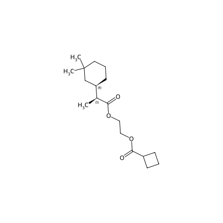 C[C@H](C(=O)OCCOC(=O)C1CCC1)[C@@H]1CCCC(C)(C)C1